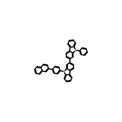 c1ccc(-n2c3ccccc3c3ccc(-c4ccc5c6ccccc6n(-c6ccc(-c7ccc8ccccc8c7)cc6)c5c4)cc32)cc1